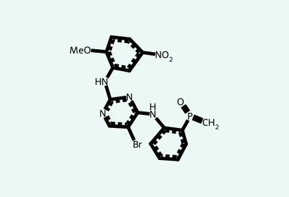 C=P(=O)c1ccccc1Nc1nc(Nc2cc([N+](=O)[O-])ccc2OC)ncc1Br